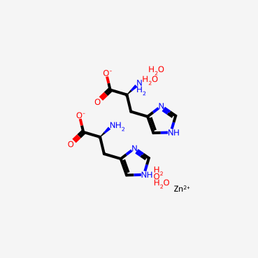 N[C@@H](Cc1c[nH]cn1)C(=O)[O-].N[C@@H](Cc1c[nH]cn1)C(=O)[O-].O.O.O.O.[Zn+2]